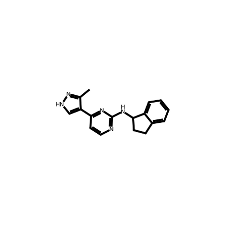 Cc1n[nH]cc1-c1ccnc(NC2CCc3ccccc32)n1